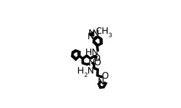 Cn1nnc2cc(CNC(=O)C3CC(c4ccccc4)CCN3C(=O)C(N)CCC(=O)N3CCCC3)ccc21